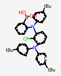 CC(C)(C)c1ccc(N(c2ccc(C(C)(C)C)cc2)c2cccc(N(c3ccc(C(C)(C)C)cc3)c3ccccc3B(O)O)c2Cl)cc1